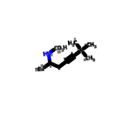 CCCCC(CC#C[Si](C)(C)C)NC(=O)O